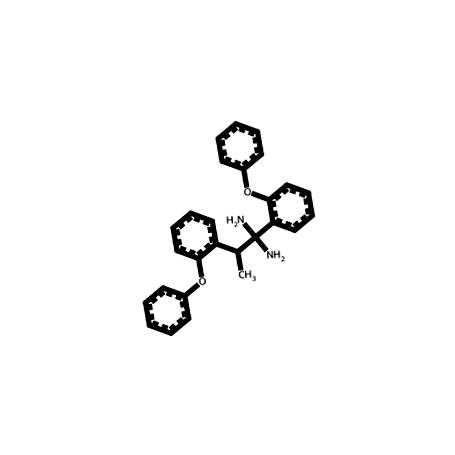 CC(c1ccccc1Oc1ccccc1)C(N)(N)c1ccccc1Oc1ccccc1